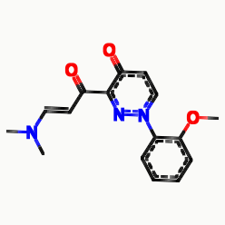 COc1ccccc1-n1ccc(=O)c(C(=O)/C=C/N(C)C)n1